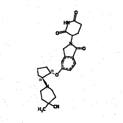 CC1(C#N)CCN([C@H]2CCC[C@@H]2Oc2ccc3c(c2)CN(C2CCC(=O)NC2=O)C3=O)CC1